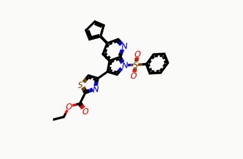 CCOC(=O)c1nc(-c2cn(S(=O)(=O)c3ccccc3)c3ncc(C4=C=CC=C4)cc23)cs1